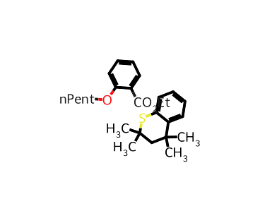 CC1(C)CC(C)(C)c2ccccc2S1.CCCCCOc1ccccc1C(=O)OCC